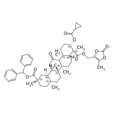 Cc1oc(=O)oc1COC(=O)[C@]1(C)[C@@H](OC(=O)C2CC2)CC[C@]2(C)C3C(=O)C=C4[C@@H]5C[C@@](C)(C(=O)OC(c6ccccc6)c6ccccc6)CC[C@]5(C)CC[C@@]4(C)[C@]3(C)CC[C@@H]12